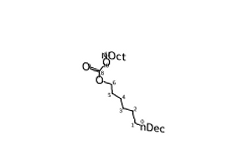 CCCCCCCCCCCCCCCCOC(=O)OCCCCCCCC